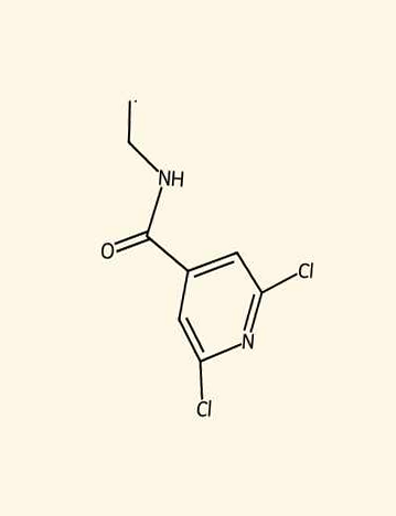 [CH2]CNC(=O)c1cc(Cl)nc(Cl)c1